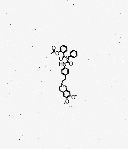 COc1cc2c(cc1OC)CN(CCc1ccc(NC(=O)N(C(=O)c3ccccc3OC(C)=O)c3ccccc3)cc1)CC2